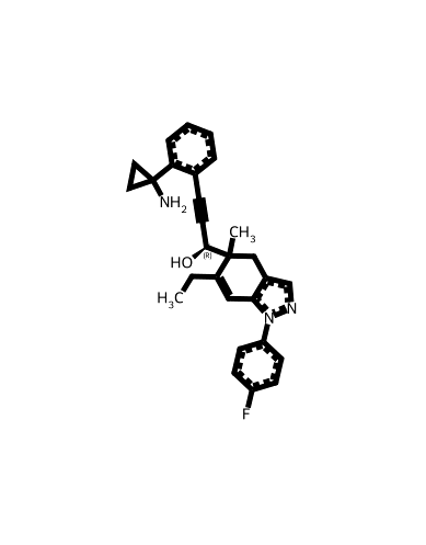 CCC1=Cc2c(cnn2-c2ccc(F)cc2)CC1(C)[C@@H](O)C#Cc1ccccc1C1(N)CC1